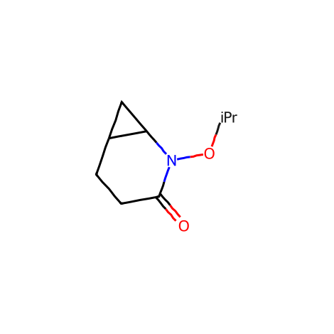 CC(C)ON1C(=O)CCC2CC21